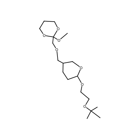 COC1(COCC2CCC(OCCOC(C)(C)C)OC2)OCCCO1